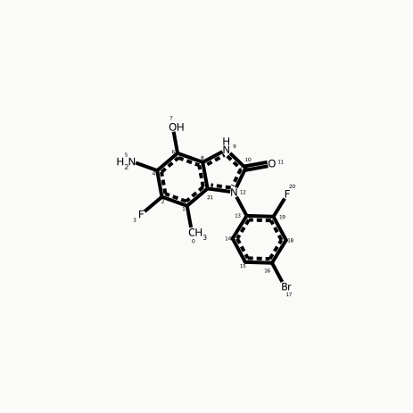 Cc1c(F)c(N)c(O)c2[nH]c(=O)n(-c3ccc(Br)cc3F)c12